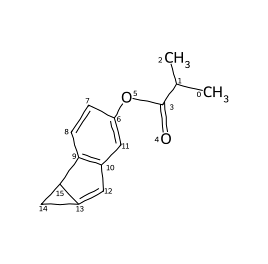 CC(C)C(=O)Oc1ccc2c(c1)C=C1CC12